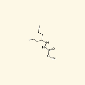 CC(C)(C)OC(=O)NNC(CCI)CCI